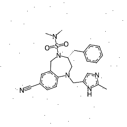 Cc1ncc(CN2C[C@@H](Cc3ccccc3)N(S(=O)(=O)N(C)C)Cc3cc(C#N)ccc32)[nH]1